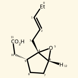 CCC=CC[C@@]12O[C@@H]1CC[C@@H]2CC(=O)O